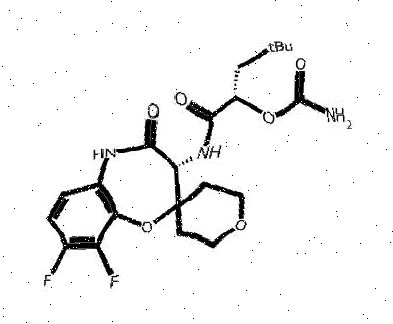 CC(C)(C)C[C@H](OC(N)=O)C(=O)N[C@H]1C(=O)Nc2ccc(F)c(F)c2OC12CCOCC2